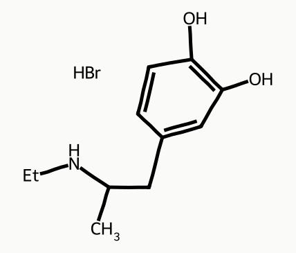 Br.CCNC(C)Cc1ccc(O)c(O)c1